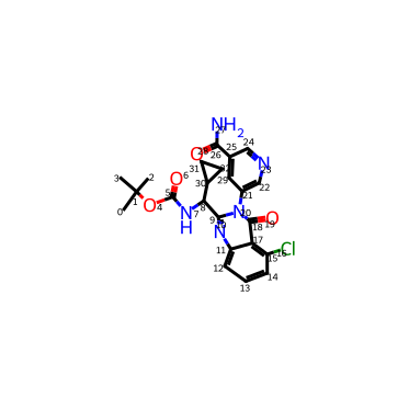 CC(C)(C)OC(=O)NC(c1nc2cccc(Cl)c2c(=O)n1-c1cncc(C(N)=O)c1)C1CC1